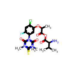 CC(Oc1cc(-n2c(=O)n(C)c(=S)n(C)c2=O)c(F)cc1Cl)C(=O)OC(=O)C(N)C(C)C